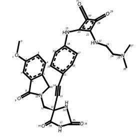 COc1ccc2c(c1)C(=O)N(C[C@@]1(C#Cc3ccc(Nc4c(NCCN(C)C)c(=O)c4=O)cc3)NC(=O)NC1=O)C2